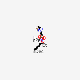 CCCCCCCCCCCCCCCC(CC)ON(CCC)S(=O)(=O)CCC[n+]1ccsc1.[I-]